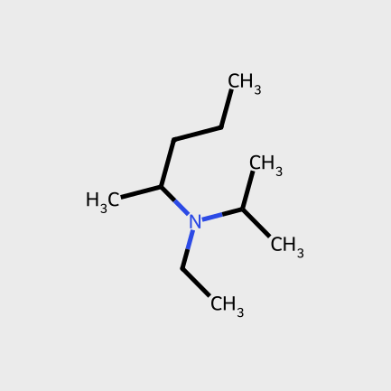 CCCC(C)N(CC)C(C)C